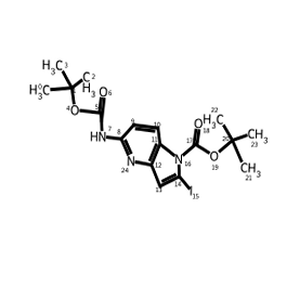 CC(C)(C)OC(=O)Nc1ccc2c(cc(I)n2C(=O)OC(C)(C)C)n1